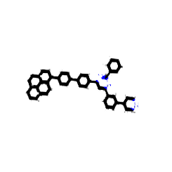 c1ccc(-c2nc(-c3ccc(-c4ccc(-c5ccc6ccc7cccc8ccc5c6c78)cc4)cc3)cc(-c3cccc(-c4ccncc4)c3)n2)cc1